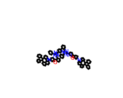 c1ccc(C2=C(c3ccccc3)c3cccc4c3c3c5c2cccc5ccc3n4-c2ccc3c(c2)oc2cc(C4=NC(c5ccccc5-c5ccc(-c6nc(-c7ccccc7)nc(-c7cccc8oc9cc(-n%10c%11cccc%12c%11c%11c%13c(cccc%13ccc%11%10)C(c%10ccccc%10)=C%12c%10ccccc%10)ccc9c78)n6)cc5)=NC(c5ccccc5)N4)ccc23)cc1